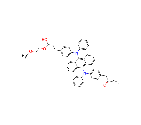 COCCOC(O)CCc1ccc(N(c2ccccc2)c2c3ccccc3c(N(c3ccccc3)c3ccc(CC(C)=O)cc3)c3ccccc23)cc1